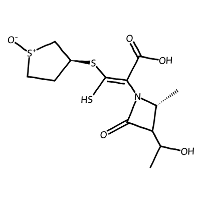 CC(O)C1C(=O)N(/C(C(=O)O)=C(\S)S[C@H]2CC[S+]([O-])C2)[C@@H]1C